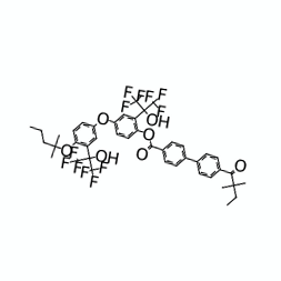 CCCC(C)(C)Oc1ccc(Oc2ccc(OC(=O)c3ccc(-c4ccc(C(=O)C(C)(C)CC)cc4)cc3)c(C(O)(C(F)(F)F)C(F)(F)F)c2)cc1C(O)(C(F)(F)F)C(F)(F)F